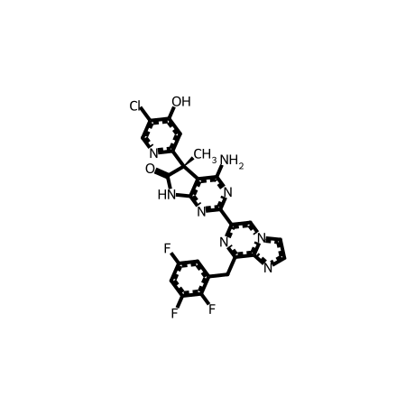 C[C@]1(c2cc(O)c(Cl)cn2)C(=O)Nc2nc(-c3cn4ccnc4c(Cc4cc(F)cc(F)c4F)n3)nc(N)c21